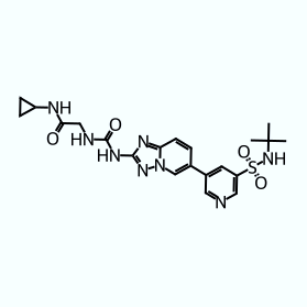 CC(C)(C)NS(=O)(=O)c1cncc(-c2ccc3nc(NC(=O)NCC(=O)NC4CC4)nn3c2)c1